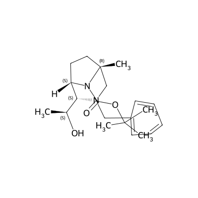 C[C@H](O)[C@@H]1[C@@H]2CC[C@](C)(CN1Cc1ccccc1)N2C(=O)OC(C)(C)C